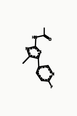 CC(=O)Nc1nc(C)c(-c2ccc(F)nc2)s1